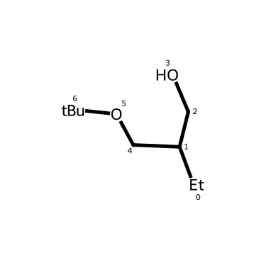 CCC(CO)COC(C)(C)C